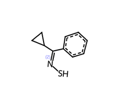 S/N=C(\c1ccccc1)C1CC1